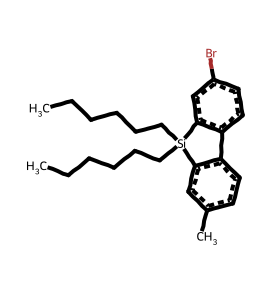 CCCCCC[Si]1(CCCCCC)c2cc(C)ccc2-c2ccc(Br)cc21